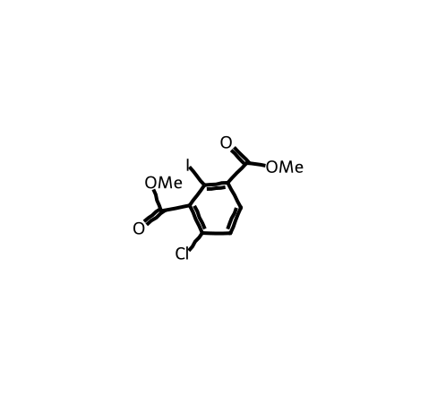 COC(=O)c1ccc(Cl)c(C(=O)OC)c1I